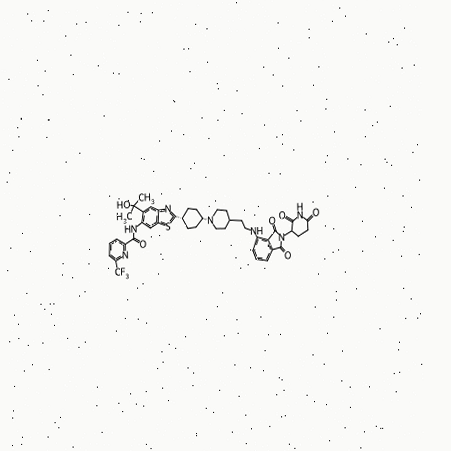 CC(C)(O)c1cc2nc([C@H]3CC[C@@H](N4CCC(CCNc5cccc6c5C(=O)N(C5CCC(=O)NC5=O)C6=O)CC4)CC3)sc2cc1NC(=O)c1cccc(C(F)(F)F)n1